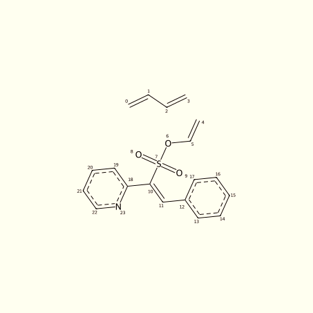 C=CC=C.C=COS(=O)(=O)C(=Cc1ccccc1)c1ccccn1